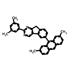 Cc1cc(C)cc(-c2ncc3c(n2)Cc2ccc(-c4c5cc(C)ccc5cc5ccc(C)cc45)cc2-3)c1